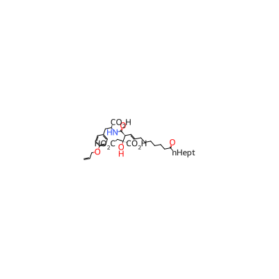 C=CCOc1ccc(CC(NC(=O)[C@@H](/C=C/CCCCCCC(=O)CCCCCCC)[C@@](O)(CC(=O)O)C(=O)O)C(=O)O)cc1